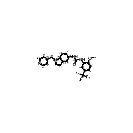 COc1ccc(C(F)(F)F)cc1NC(=O)Nc1ccc2c(ccn2Cc2ccncc2)c1